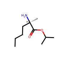 CCCC[C@@](C)(N)C(=O)OC(C)C